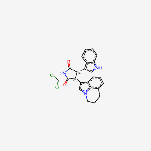 ClCCl.O=C1NC(=O)[C@H](c2cn3c4c(cccc24)CCC3)[C@H]1c1c[nH]c2ccccc12